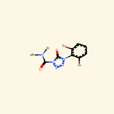 CCCN(CC)C(=O)n1nnn(-c2c(Br)cccc2Br)c1=O